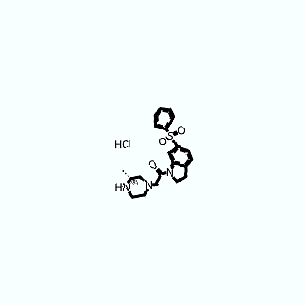 C[C@@H]1CN(CC(=O)N2CCc3ccc(S(=O)(=O)c4ccccc4)cc32)CCN1.Cl